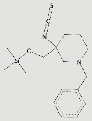 C[Si](C)(C)OCC1(N=C=S)CCCN(Cc2ccccc2)C1